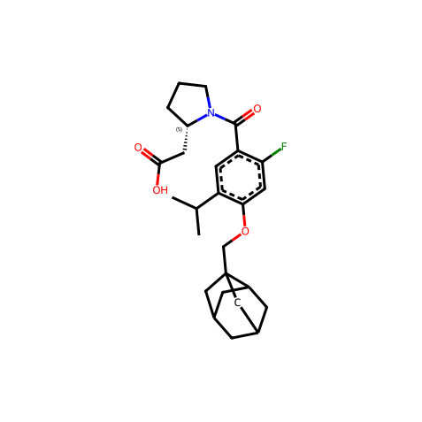 CC(C)c1cc(C(=O)N2CCC[C@H]2CC(=O)O)c(F)cc1OCC12CC3CC(CC1C3)C2